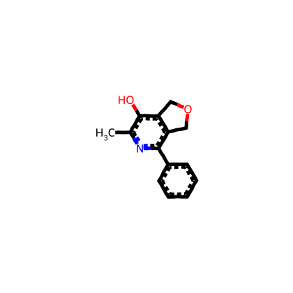 Cc1nc(-c2ccccc2)c2c(c1O)COC2